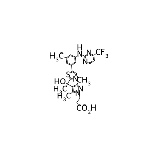 Cc1cc(Nc2nccc(C(F)(F)F)n2)cc(-c2cnc(C(C)(O)c3c(C)nn(CCC(=O)O)c3C)s2)c1